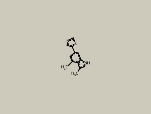 Cc1c[nH]c2cc(-c3cncs3)cc(C)c12